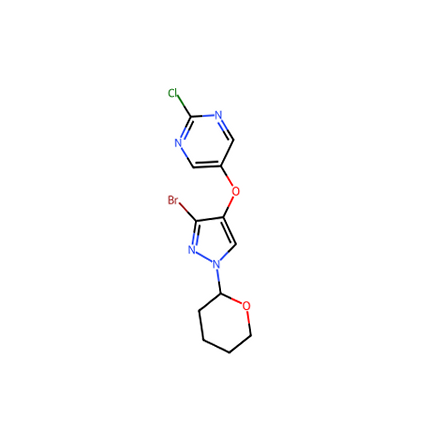 Clc1ncc(Oc2cn(C3CCCCO3)nc2Br)cn1